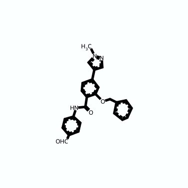 Cn1cc(-c2ccc(C(=O)Nc3ccc(C=O)cc3)c(OCc3ccccc3)c2)cn1